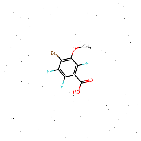 COc1c(F)c(C(=O)O)c(F)c(F)c1Br